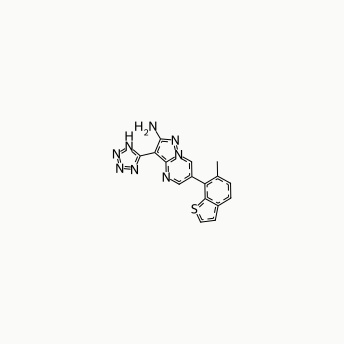 Cc1ccc2ccsc2c1-c1cnc2c(-c3nnn[nH]3)c(N)nn2c1